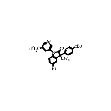 CCc1ccc2c(c1)C(C)(c1ccc(C(C)(C)C)cc1)C(=O)N2c1cncc(C(=O)O)c1